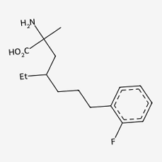 CCC(CCCc1ccccc1F)CC(C)(N)C(=O)O